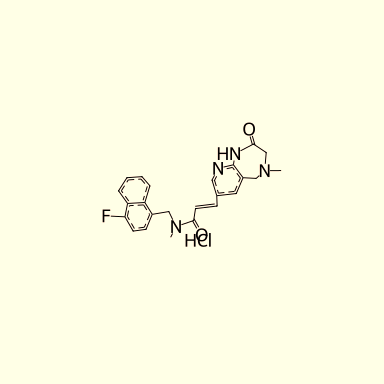 CN1CC(=O)Nc2ncc(C=CC(=O)N(C)Cc3ccc(F)c4ccccc34)cc2C1.Cl